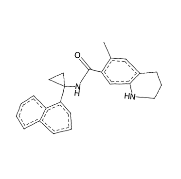 Cc1cc2c(cc1C(=O)NC1(c3cccc4ccccc34)CC1)NCCC2